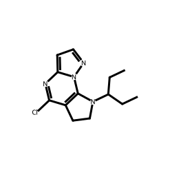 CCC(CC)N1CCc2c(Cl)nc3ccnn3c21